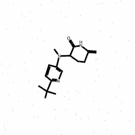 C=C1CCC(N(C)c2ccc(C(C)(C)C)nc2)C(=O)N1